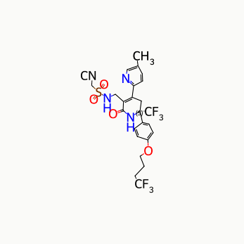 Cc1ccc(C2=C(CNS(=O)(=O)CC#N)C(=O)N[C@@](c3ccc(OCCCC(F)(F)F)cc3)(C(F)(F)F)C2)nc1